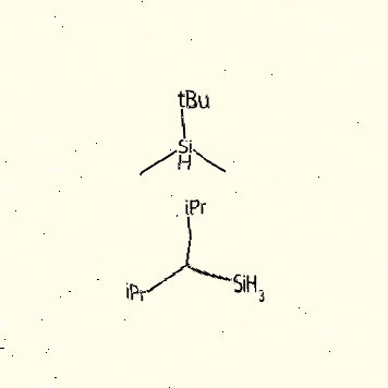 CC(C)C([SiH3])C(C)C.C[SiH](C)C(C)(C)C